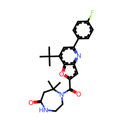 CC(C)(C)c1cc(-c2ccc(F)cc2)nc2cc(C(=O)N3CCNC(=O)CC3(C)C)oc12